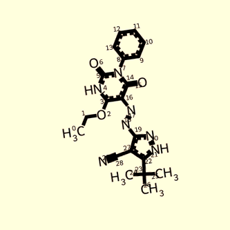 CCOc1[nH]c(=O)n(-c2ccccc2)c(=O)c1N=Nc1n[nH]c(C(C)(C)C)c1C#N